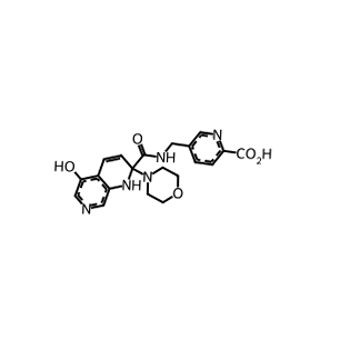 O=C(O)c1ccc(CNC(=O)C2(N3CCOCC3)C=Cc3c(O)cncc3N2)cn1